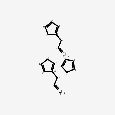 C1=CCC=C1.C=CCC1=CC=CC1.C=CCC1=CCC=C1